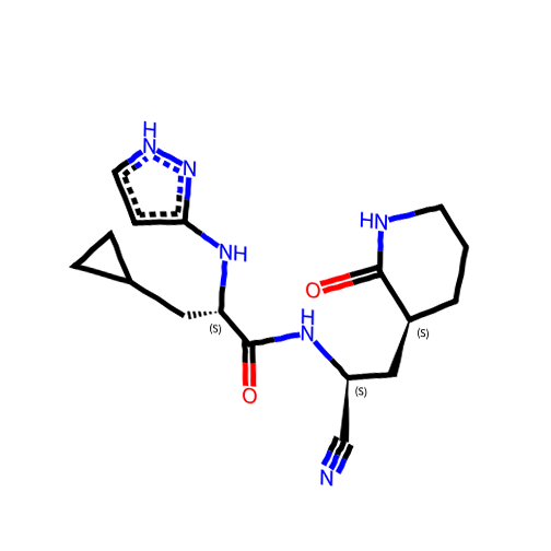 N#C[C@H](C[C@@H]1CCCNC1=O)NC(=O)[C@H](CC1CC1)Nc1cc[nH]n1